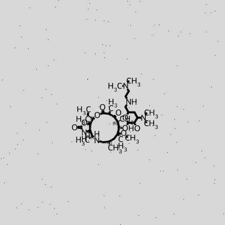 CC[C@H]1OC(=O)C(C)C(=O)[C@H](C)[C@@H](OC2OC(CNCCN(C)C)CC(N(C)C)C2O)[C@](C)(OC)C[C@@H](C)CN[C@H](C)[C@H]2NC(=O)O[C@@]21C